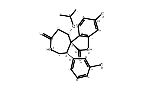 CC(C)O[C@H]1CC(=O)NC[C@@H](c2cccc(Cl)c2)[C@]12C(=O)Nc1cc(Cl)ccc12